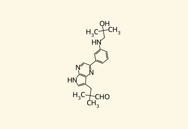 CC(C)(O)CNc1cccc(-c2cnc3[nH]cc(CC(C)(C)C=O)c3n2)c1